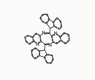 c1ccc2c(c1)-c1ccccc1C2/C1=N/c2cc3ccccc3nc2/C(C2c3ccccc3-c3ccccc32)=N\c2cc3ccccc3nc21